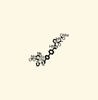 COC(=O)N[C@@H](C)C(=O)N1CCCC1c1ncc(-c2ccc(-c3ccc(-c4cnc([C@@H]5CCCN5C(=O)[C@H](Cc5cscn5)OC(N)=O)[nH]4)cc3)cc2)[nH]1